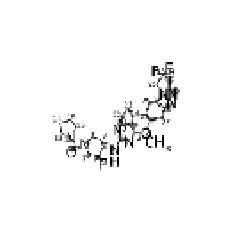 COc1nc(N[C@H]2CCN(C(=O)N3CCCC3)C[C@H]2F)nn2ccc(-c3ccc4nnn(CC(F)(F)F)c4c3)c12